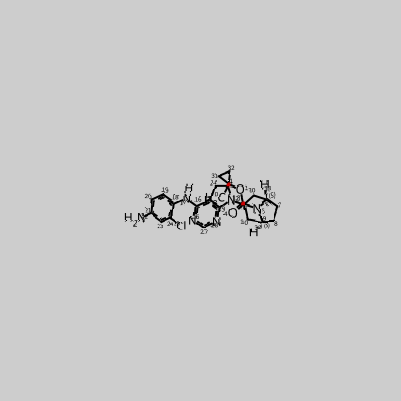 CC1(OC(=O)N2[C@H]3CC[C@H]2CC(N2CCc4c(Nc5ccc(N)cc5Cl)ncnc42)C3)CC1